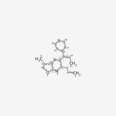 C=CCc1nc2occ(C)c2cc1/C(=C\C)c1ccccc1